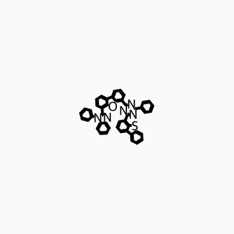 c1ccc(-c2nc(-c3cccc4c3oc3c(-c5nc6ccccc6n5-c5ccccc5)cccc34)nc(-c3cccc4c3sc3ccccc34)n2)cc1